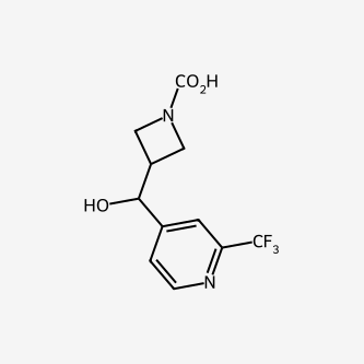 O=C(O)N1CC(C(O)c2ccnc(C(F)(F)F)c2)C1